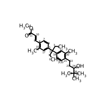 CCC(CC)(c1ccc(C=CC(=O)OC)c(C)c1)c1ccc(CCC(O)C(C)(C)C)c(C)c1